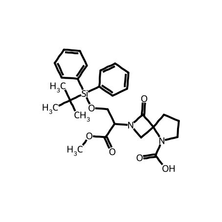 COC(=O)C(CO[Si](c1ccccc1)(c1ccccc1)C(C)(C)C)N1CC2(CCCN2C(=O)O)C1=O